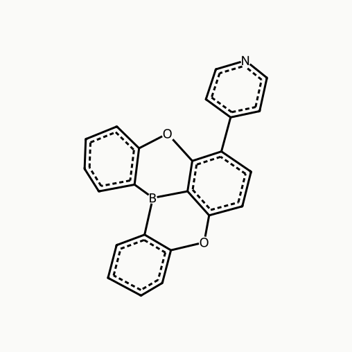 c1ccc2c(c1)Oc1ccc(-c3ccncc3)c3c1B2c1ccccc1O3